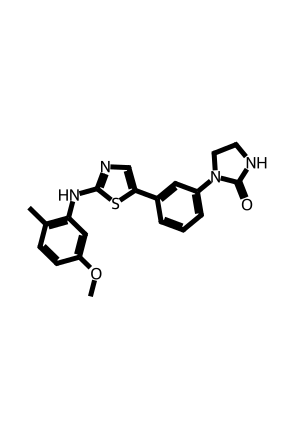 COc1ccc(C)c(Nc2ncc(-c3cccc(N4CCNC4=O)c3)s2)c1